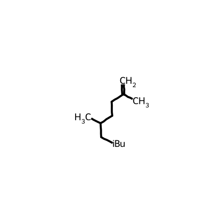 C=C(C)CCC(C)CC(C)CC